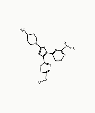 COc1ccc(-c2nc(N3CCC(C)CC3)sc2-c2ccnc([S+](C)[O-])n2)cc1